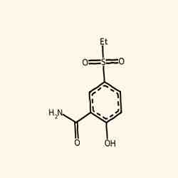 CCS(=O)(=O)c1ccc(O)c(C(N)=O)c1